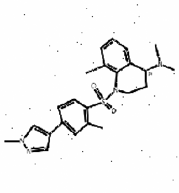 Cc1cc(-c2cnn(C)c2)ccc1S(=O)(=O)N1CC[C@H](N(C)C)c2cccc(C)c21